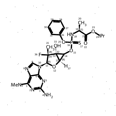 CNc1nc(N)nc2c1ncn2[C@@H]1O[C@@H]2C(OP(=S)(N[C@@H](C)C(=O)OC(C)C)Oc3ccccc3)[C@]2(O)[C@@]1(C)F